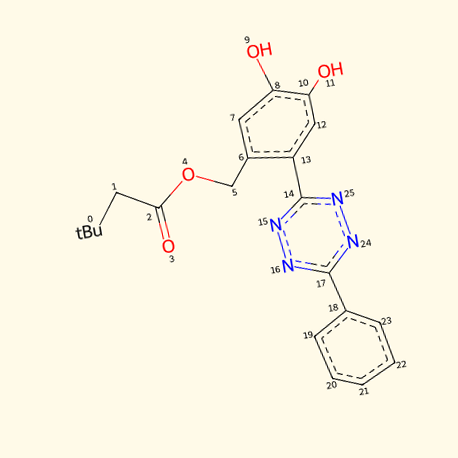 CC(C)(C)CC(=O)OCc1cc(O)c(O)cc1-c1nnc(-c2ccccc2)nn1